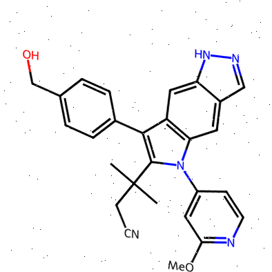 COc1cc(-n2c(C(C)(C)CC#N)c(-c3ccc(CO)cc3)c3cc4[nH]ncc4cc32)ccn1